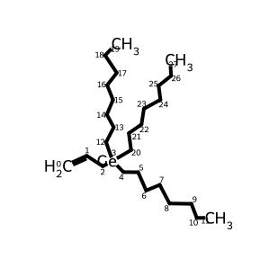 C=C[CH2][Ge]([CH2]CCCCCCC)([CH2]CCCCCCC)[CH2]CCCCCCC